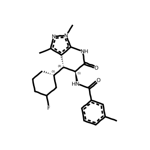 Cc1cccc(C(=O)N[C@@H]2C(=O)Nc3c(c(C)nn3C)[C@H]2[C@H]2CCCC(F)C2)c1